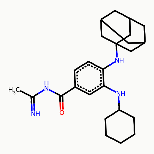 CC(=N)NC(=O)c1ccc(NC23CC4CC(CC(C4)C2)C3)c(NC2CCCCC2)c1